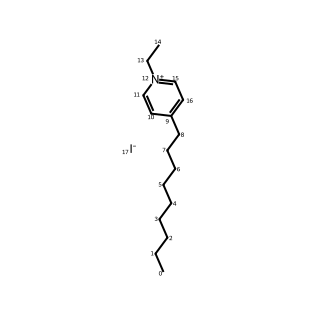 CCCCCCCCCc1cc[n+](CC)cc1.[I-]